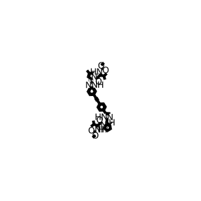 COC(=O)N[C@H](C(=O)N1CC(C)=C[C@H]1c1nc2ccc(C#Cc3ccc(-c4cnc(C5[C@@H]6CC[C@@H](C6)N5C(=O)[C@@H](NC(=O)OC)C(C)C)[nH]4)cc3)cc2[nH]1)C(C)C